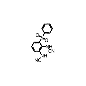 N#CNc1cccc(S(=O)(=O)c2ccccc2)c1NC#N